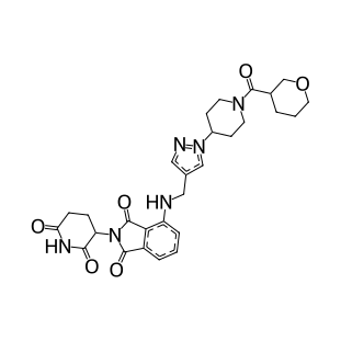 O=C1CCC(N2C(=O)c3cccc(NCc4cnn(C5CCN(C(=O)C6CCCOC6)CC5)c4)c3C2=O)C(=O)N1